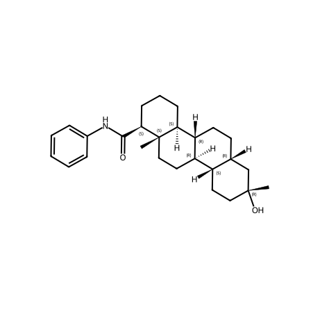 C[C@@]1(O)CC[C@H]2[C@H](CC[C@@H]3[C@@H]2CC[C@]2(C)[C@@H](C(=O)Nc4ccccc4)CCC[C@@H]32)C1